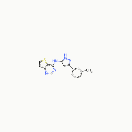 Cc1cccc(-c2cc(Nc3ncnc4ccsc34)[nH]n2)c1